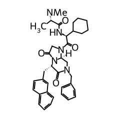 CN[C@@H](C)C(=O)N[C@H](C(=O)N1CC(=O)N2[C@@H]1CN(Cc1ccccc1)C(=O)[C@@H]2Cc1ccc2ccccc2c1)C1CCCCC1